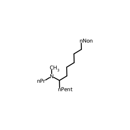 CCCCCCCCCCCCCCC(CCCCC)N(C)CCC